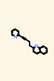 C(#Cc1ccccn1)CCc1ccc2ccccc2n1